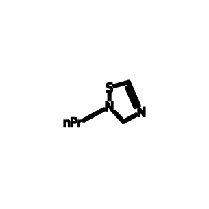 CCCN1CN=CS1